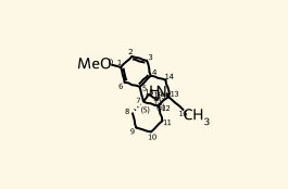 COc1ccc2c(c1)[C@]13CCCC[C@@H]1C(C2)N(C)CC3